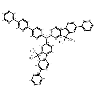 CC1(C)c2cc(-c3ccccc3)ccc2-c2ccc(N(c3ccc(-c4ccc(-c5ccccc5)cc4)cc3)c3ccc4c(c3)C(C)(C)c3cc(-c5ccccc5)ccc3-4)cc21